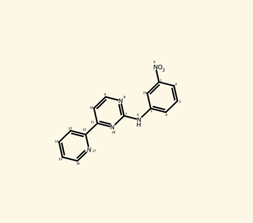 O=[N+]([O-])c1cccc(Nc2nccc(-c3ccccn3)n2)c1